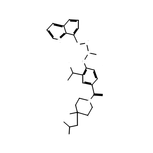 CC(C)CC1(O)CCN(C(=O)c2ccc(NN(C)SOc3cccc4cccnc34)c(C(F)F)c2)CC1.S